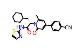 Cc1cc(-c2ccc(C#N)cc2)cc(=O)n1[C@@H](CC1CCCCC1)C(=O)Nc1nccs1